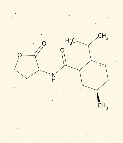 CC(C)C1CC[C@@H](C)CC1C(=O)NC1CCOC1=O